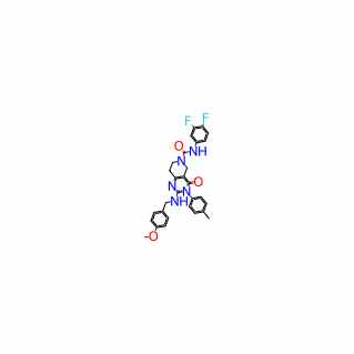 COc1ccc(CNc2nc3c(c(=O)n2-c2ccc(C)cc2)CN(C(=O)Nc2ccc(F)c(F)c2)CC3)cc1